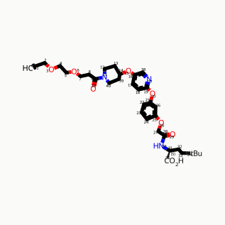 C#CCOCCOCCC(=O)N1CCC(Oc2ccc(Oc3cccc(OCC(=O)N[C@@H](CCC(C)(C)C)C(=O)O)c3)nc2)CC1